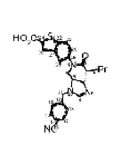 CC(C)CC(=O)N(CC1CN=CN1Cc1ccc(C#N)cc1)c1ccc2sc(C(=O)O)cc2c1